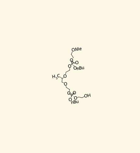 CCCCOP(=O)(OCCO)OCCOCC(C)OCCOP(=O)(OCCCC)OCCOC